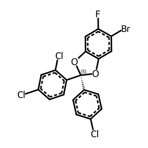 Fc1cc2c(cc1Br)O[C@@](c1ccc(Cl)cc1)(c1ccc(Cl)cc1Cl)O2